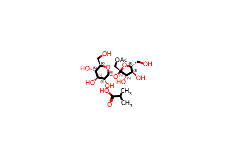 CC(=O)OC[C@@]1(O[C@H]2O[C@H](CO)[C@@H](O)[C@H](O)[C@H]2O)O[C@H](CO)[C@@H](O)[C@@H]1O.CC(C)C(=O)O